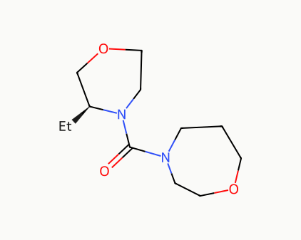 CC[C@H]1COCCN1C(=O)N1CCCOCC1